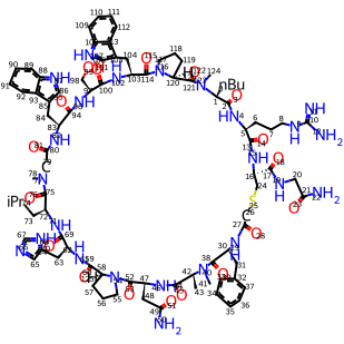 CCCC[C@H]1C(=O)N[C@@H](CCCNC(=N)N)C(=O)N[C@H](C(=O)NCC(N)=O)CSCC(=O)N[C@@H](Cc2ccccc2)C(=O)N(C)[C@@H](C)C(=O)N[C@@H](CC(N)=O)C(=O)N2CCC[C@H]2C(=O)N[C@@H](Cc2cnc[nH]2)C(=O)N[C@@H](CC(C)C)C(=O)N(C)CC(=O)N[C@@H](Cc2c[nH]c3ccccc23)C(=O)N[C@@H](CO)C(=O)N[C@@H](Cc2c[nH]c3ccccc23)C(=O)N2CCC[C@H]2C(=O)N1C